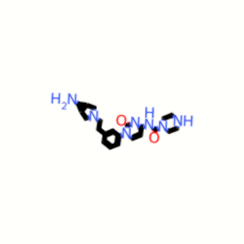 NC1C2CN(CCc3cccc(-n4ccc(NC(=O)N5CCNCC5)nc4=O)c3)CC12